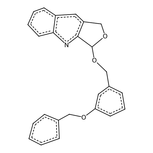 c1ccc(COc2cccc(COC3OCc4cc5ccccc5nc43)c2)cc1